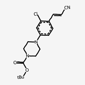 CC(C)(C)OC(=O)N1CCN(c2ccc(C=CC#N)c(Cl)c2)CC1